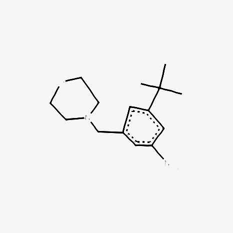 CC(C)(C)c1cc(N)cc(CN2CCOCC2)c1